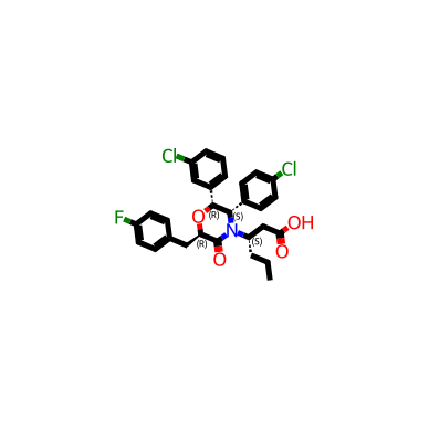 CCC[C@@H](CC(=O)O)N1C(=O)[C@@H](Cc2ccc(F)cc2)O[C@H](c2cccc(Cl)c2)[C@@H]1c1ccc(Cl)cc1